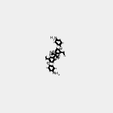 CCc1cc(C(c2ccc(Oc3ccc(N)cc3)c(CC)c2)(C(F)(F)F)C(F)(F)F)ccc1Oc1ccc(N)cc1